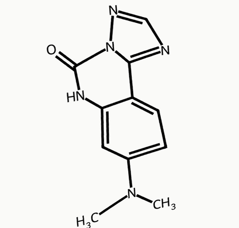 CN(C)c1ccc2c(c1)[nH]c(=O)n1ncnc21